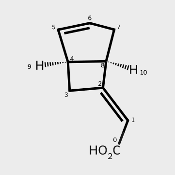 O=C(O)C=C1C[C@H]2C=CC[C@@H]12